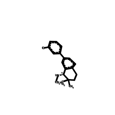 CC1(C)CCc2ccc(-c3cccc(Cl)c3)cc2[C@H]1NC(=O)O